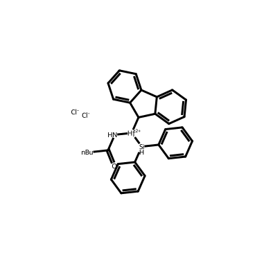 CCCCC(=O)[NH][Hf+2]([CH]1c2ccccc2-c2ccccc21)[SiH](c1ccccc1)c1ccccc1.[Cl-].[Cl-]